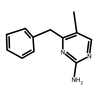 Cc1cnc(N)nc1Cc1ccccc1